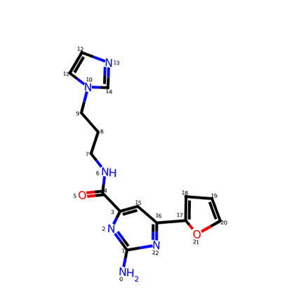 Nc1nc(C(=O)NCCCn2ccnc2)cc(-c2ccco2)n1